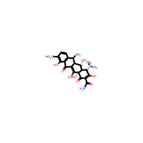 CC1c2ccc(C(=O)O)c(O)c2C(=O)C2=C(O)[C@]3(O)C(=O)C(C(N)=O)=C(O)[C@@H](N(C)C)C3[C@@H](O)C21